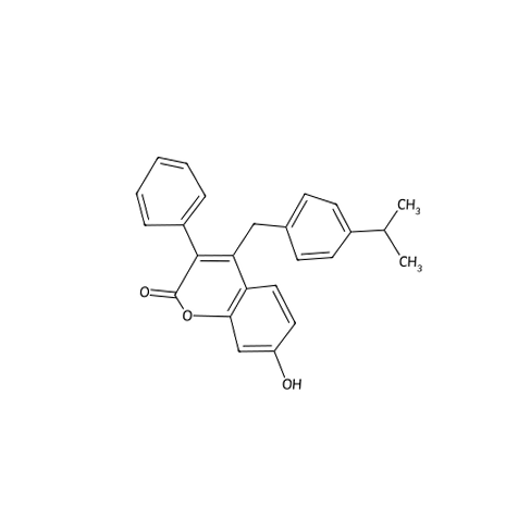 CC(C)c1ccc(Cc2c(-c3ccccc3)c(=O)oc3cc(O)ccc23)cc1